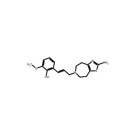 COc1cccc(C=CCN2CCc3nc(N)sc3CC2)c1O